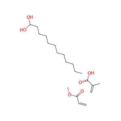 C=C(C)C(=O)O.C=CC(=O)OC.CCCCCCCCCCCC(O)O